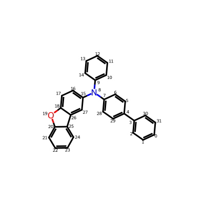 c1ccc(-c2ccc(N(c3ccccc3)c3ccc4oc5ccccc5c4c3)cc2)cc1